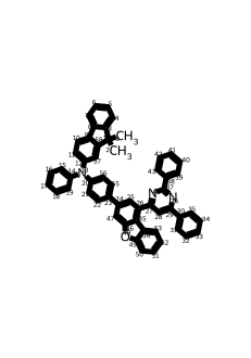 CC1(C)c2ccccc2-c2ccc(N(c3ccccc3)c3ccc(-c4cc(-c5cc(-c6ccccc6)nc(-c6ccccc6)n5)c5c(c4)oc4ccccc45)cc3)cc21